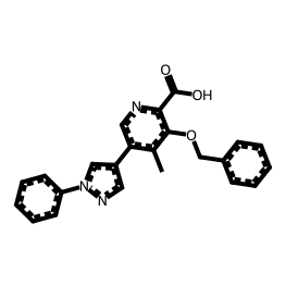 Cc1c(-c2cnn(-c3ccccc3)c2)cnc(C(=O)O)c1OCc1ccccc1